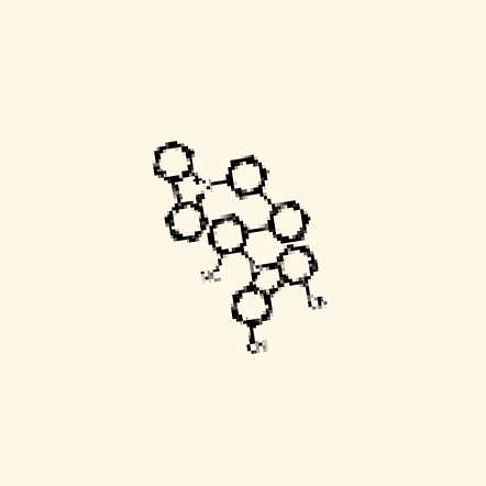 N#Cc1ccc2c(c1)c1c(C#N)cccc1n2-c1c(C#N)cccc1-c1ccccc1-c1cccc(-n2c3ccccc3c3ccccc32)c1